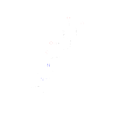 CCC(CC)N1CCN(C(=O)C=C2Cc3cc(OC)c(OC)cc3C2=O)CC1